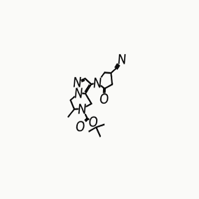 CC1Cn2ncc(N3CC(C#N)CC3=O)c2CN1C(=O)OC(C)(C)C